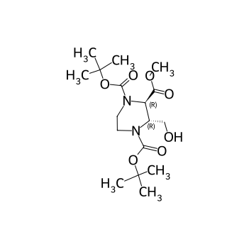 COC(=O)[C@H]1[C@H](CO)N(C(=O)OC(C)(C)C)CCN1C(=O)OC(C)(C)C